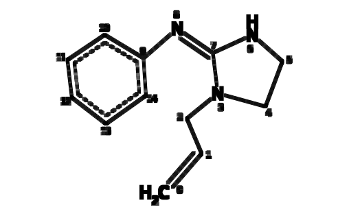 C=CCN1CCNC1=Nc1ccccc1